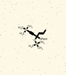 CCCCCC(C#C[Si](C)(C)C)(/C=C/I)O[Si](C)(C)C